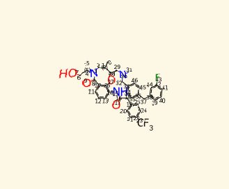 C[C@@H]1CN([C@@H](C)CO)C(=O)c2cccc(NC(=O)Cc3ccc(C(F)(F)F)cc3)c2O[C@@H]1CN(C)Cc1ccc(Cc2cccc(F)c2)cc1